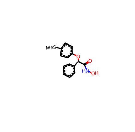 CSc1ccc(OC(C(=O)NO)c2ccccc2)cc1